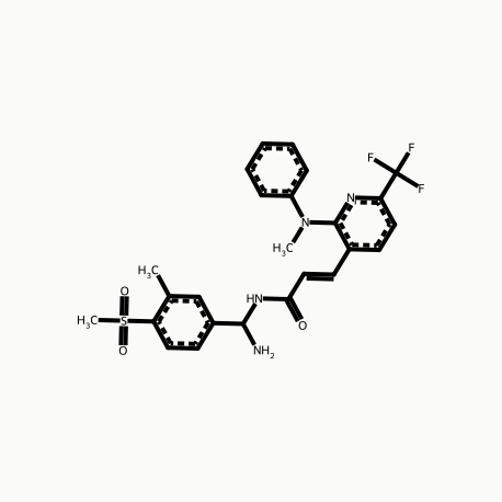 Cc1cc(C(N)NC(=O)C=Cc2ccc(C(F)(F)F)nc2N(C)c2ccccc2)ccc1S(C)(=O)=O